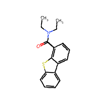 CCN(CC)C(=O)c1cccc2c1sc1ccccc12